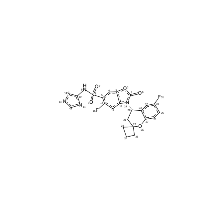 O=c1oc2cc(S(=O)(=O)Nc3ncns3)c(F)cc2n1[C@H]1CC2(CCC2)Oc2ccc(F)cc21